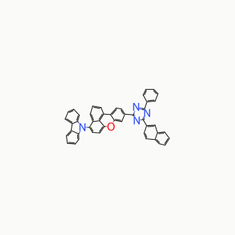 c1ccc(-c2nc(-c3ccc4c(c3)Oc3ccc(-n5c6ccccc6c6ccccc65)c5cccc-4c35)nc(-c3ccc4ccccc4c3)n2)cc1